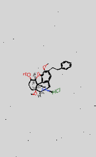 COc1c(CCc2ccccc2)cc2c3c1O[C@H]1C(O)CC[C@@]4(OC)[C@@H](C2)N(C)CC[C@]314.Cl